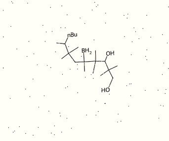 BC(C)(CC(C)(C)C(C)CCCC)C(C)(C)C(O)C(C)(C)CO